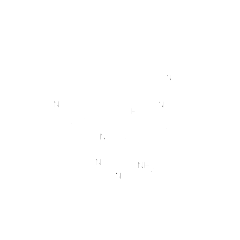 CN(C)CC1CC(n2cc(-c3ccc4ccc(-c5ccccn5)nc4c3F)c3c(N)ncnc32)C1